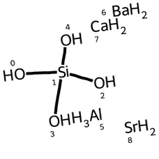 O[Si](O)(O)O.[AlH3].[BaH2].[CaH2].[SrH2]